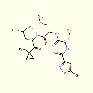 COC[C@H](NC(=O)[C@H](CO)NC(=O)c1cc(C)on1)C(=O)N[C@@H](CC(C)C)C(=O)C1(C)CC1